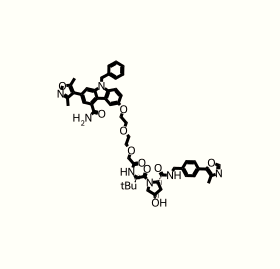 Cc1ncoc1-c1ccc(CNC(=O)[C@@H]2C[C@@H](O)CN2C(=O)[C@@H](NC(=O)COCCOCCOc2ccc3c(c2)c2c(C(N)=O)cc(-c4c(C)noc4C)cc2n3Cc2ccccc2)C(C)(C)C)cc1